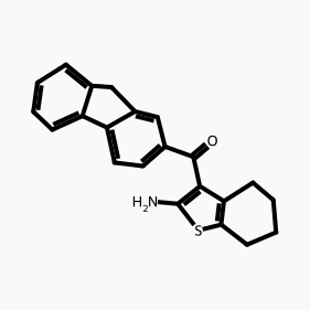 Nc1sc2c(c1C(=O)c1ccc3c(c1)Cc1ccccc1-3)CCCC2